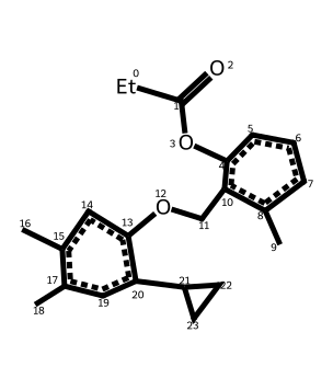 CCC(=O)Oc1cccc(C)c1COc1cc(C)c(C)cc1C1CC1